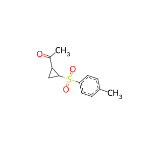 CC(=O)C1CC1S(=O)(=O)c1ccc(C)cc1